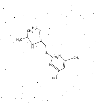 C/C=C(/CSc1nc(C)cc(O)n1)NC(C)C